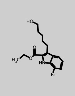 CCOC(=O)c1[nH]c2c(Br)cccc2c1CCCCCO